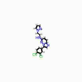 Clc1ccc(-c2cnc3ccc(NCCn4cccn4)nn23)cc1Cl